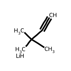 C#CC(C)(C)C.[LiH]